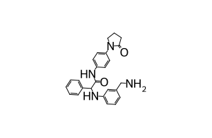 NCc1cccc(NC(C(=O)Nc2ccc(N3CCCC3=O)cc2)c2ccccc2)c1